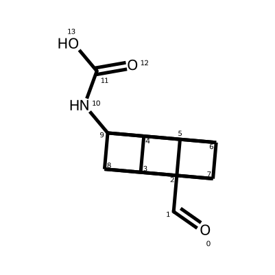 O=CC12C3C4C1C1C2C3C41NC(=O)O